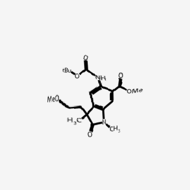 COCCC1(C)C(=O)N(C)c2cc(C(=O)OC)c(NC(=O)OC(C)(C)C)cc21